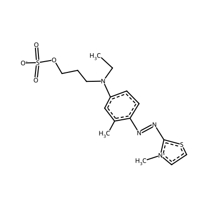 CCN(CCCOS(=O)(=O)[O-])c1ccc(N=Nc2scc[n+]2C)c(C)c1